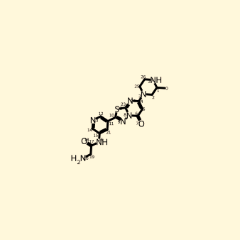 CC1CN(c2cc(=O)n3nc(-c4cncc(NC(=O)CN)c4)sc3n2)CCN1